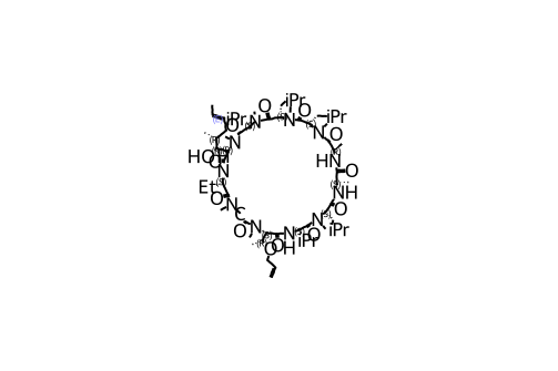 C=CCO[C@H](C)[C@H]1C(=O)N[C@@H](C(C)C)C(=O)N(C)[C@@H](CC(C)C)C(=O)N[C@@H](C)C(=O)N[C@H](C)C(=O)N(C)[C@@H](CC(C)C)C(=O)N(C)[C@@H](CC(C)C)C(=O)N(C)[C@@H](C(C)C)C(=O)N(C)[C@H]([C@H](O)[C@H](C)C/C=C/C)C(=O)N[C@@H](CC)C(=O)N(C)CC(=O)N1C